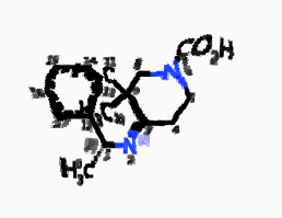 C[C@@H](/N=C1/CCN(C(=O)O)CC1(C)C)c1ccccc1